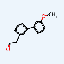 COc1cccc(-c2cccc(CC=O)c2)c1